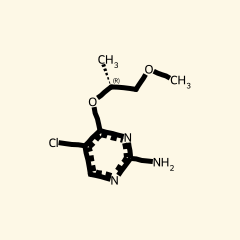 COC[C@@H](C)Oc1nc(N)ncc1Cl